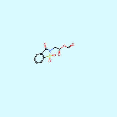 O=COC(=O)CN1C(=O)c2ccccc2S1(=O)=O